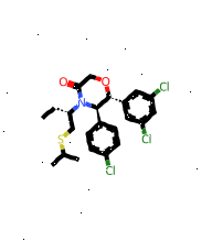 CC[C@@H](CSC(C)C)N1C(=O)CO[C@H](c2cc(Cl)cc(Cl)c2)[C@H]1c1ccc(Cl)cc1